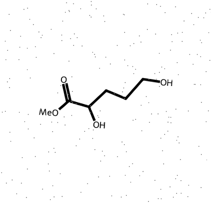 [CH2]OC(=O)C(O)CCCO